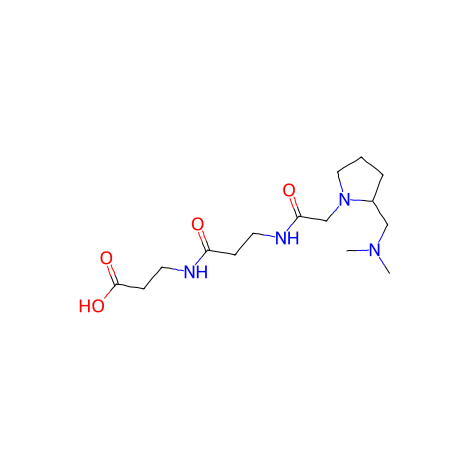 CN(C)CC1CCCN1CC(=O)NCCC(=O)NCCC(=O)O